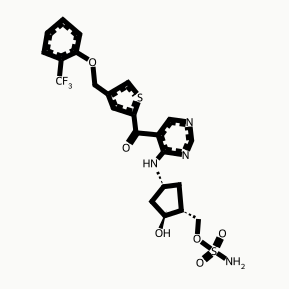 NS(=O)(=O)OC[C@H]1C[C@@H](Nc2ncncc2C(=O)c2cc(COc3ccccc3C(F)(F)F)cs2)C[C@@H]1O